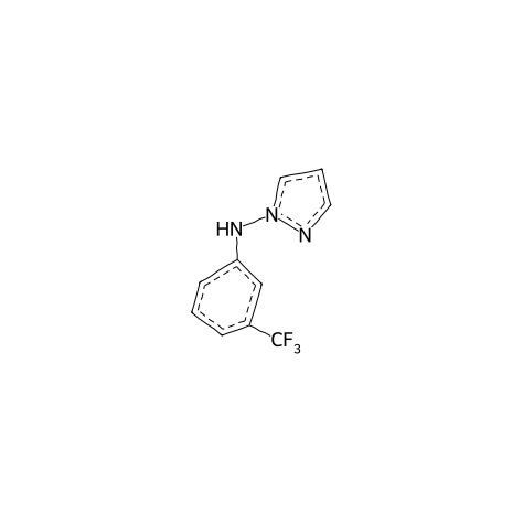 FC(F)(F)c1cccc(Nn2cccn2)c1